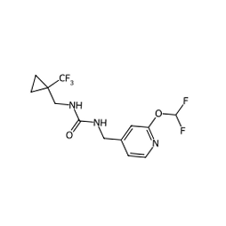 O=C(NCc1ccnc(OC(F)F)c1)NCC1(C(F)(F)F)CC1